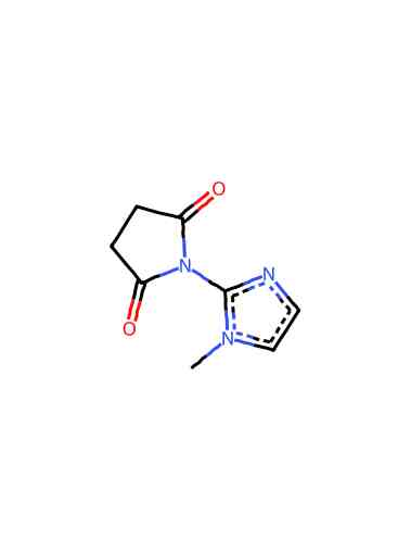 Cn1ccnc1N1C(=O)CCC1=O